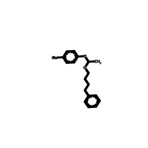 CCC(C)c1ccc(OC(C)OCCCCc2ccccc2)cc1